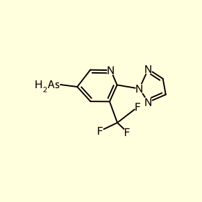 FC(F)(F)c1cc([AsH2])cnc1-n1nccn1